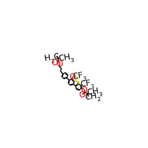 C=C(C)C(=O)OCCCc1ccc(-c2ccc3c(sc4c(C(F)(F)F)c(OC(=O)C(=C)C)ccc43)c2OC(F)(F)F)cc1